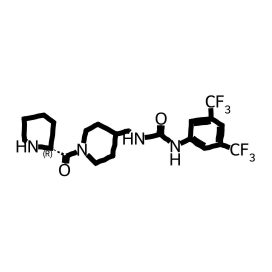 O=C(NCC1CCN(C(=O)[C@H]2CCCCN2)CC1)Nc1cc(C(F)(F)F)cc(C(F)(F)F)c1